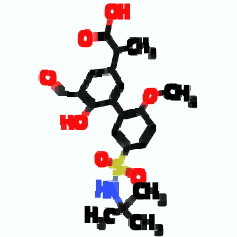 COc1ccc(S(=O)(=O)NC(C)(C)C)cc1-c1cc(C(C)C(=O)O)cc(C=O)c1O